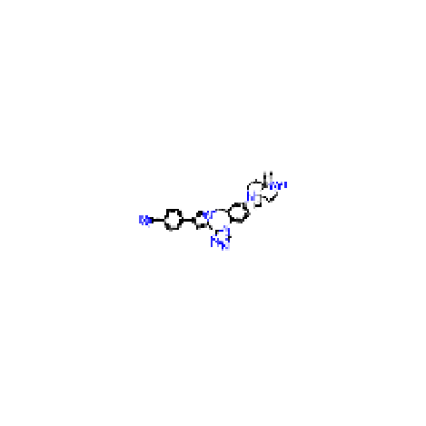 N#Cc1ccc(-c2cc3n(c2)Cc2cc(N4CC[C@@H]5NCC[C@H]54)ccc2-n2cnnc2-3)cc1